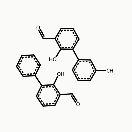 Cc1cccc(-c2cccc(C=O)c2O)c1.O=Cc1cccc(-c2ccccc2)c1O